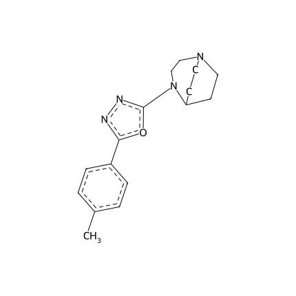 Cc1ccc(-c2nnc(N3CCN4CCC3CC4)o2)cc1